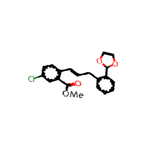 COC(=O)c1cc(Cl)ccc1/C=C/Cc1ccccc1C1OCCO1